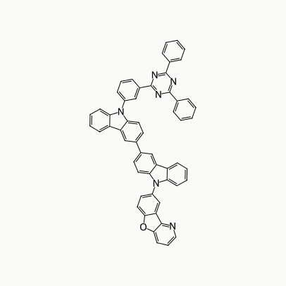 c1ccc(-c2nc(-c3ccccc3)nc(-c3cccc(-n4c5ccccc5c5cc(-c6ccc7c(c6)c6ccccc6n7-c6ccc7oc8cccnc8c7c6)ccc54)c3)n2)cc1